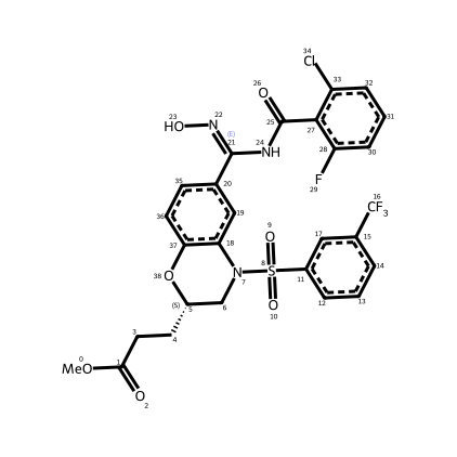 COC(=O)CC[C@H]1CN(S(=O)(=O)c2cccc(C(F)(F)F)c2)c2cc(/C(=N\O)NC(=O)c3c(F)cccc3Cl)ccc2O1